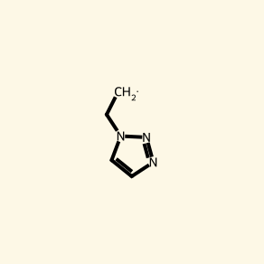 [CH2]Cn1ccnn1